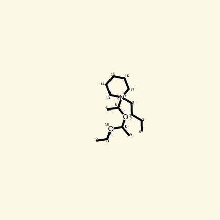 CCCC[N+]1(C(C)OC(C)OCC)CCCCC1